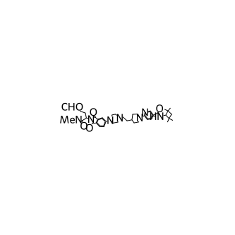 CNC(=O)C(CCC=O)N1C(=O)c2ccc(N3CCN(CCC4CCN(c5ccc(C(=O)NC6C(C)(C)CC6(C)C)cn5)CC4)CC3)cc2C1=O